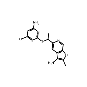 Cc1oc2cnc(C(C)Sc3nc(N)cc(Cl)n3)cc2c1N